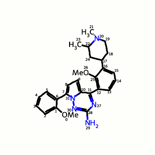 COc1ccccc1-c1ccc2c(-c3cccc(C4CCN(C)C(C)C4)c3OC)nc(N)nn12